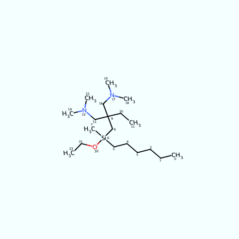 CCCCCC[Si](C)(CC(CC)(CN(C)C)CN(C)C)OCC